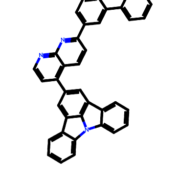 c1ccc(-c2cccc(-c3ccc4c(-c5cc6c7ccccc7n7c8ccccc8c(c5)c67)ccnc4n3)c2)cc1